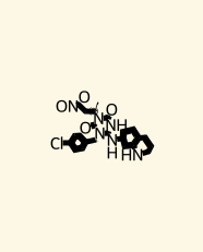 C[C@@H](CC(=O)N=O)N1C(=O)NC(Nc2ccc3c(c2)NCC=C3)N(Cc2ccc(Cl)cc2)C1=O